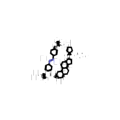 CC/C(=C(/CC)c1ccc(OP(=O)(O)O)cc1)c1ccc(OP(=O)(O)O)cc1.COC1(O[C@H]2CC[C@H]3[C@@H]4CC[C@H]5C[C@@H]6S[C@@H]6C[C@]5(C)[C@H]4CC[C@]23C)CCCC1